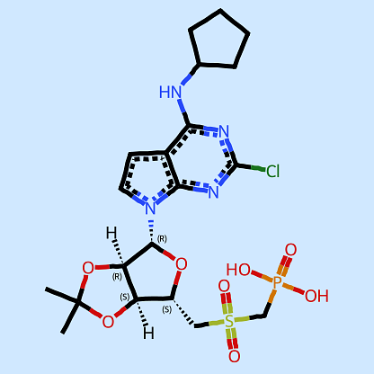 CC1(C)O[C@@H]2[C@H](O1)[C@@H](CS(=O)(=O)CP(=O)(O)O)O[C@H]2n1ccc2c(NC3CCCC3)nc(Cl)nc21